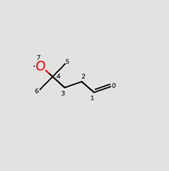 C=CCCC(C)(C)[O]